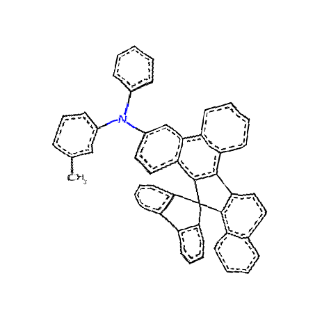 Cc1cccc(N(c2ccccc2)c2ccc3c4c(c5ccccc5c3c2)-c2ccc3ccccc3c2C42c3ccccc3-c3ccccc32)c1